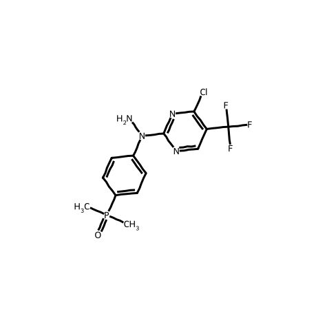 CP(C)(=O)c1ccc(N(N)c2ncc(C(F)(F)F)c(Cl)n2)cc1